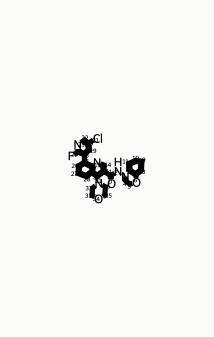 O=C(NN1CCOc2ccccc21)c1cnc2c(-c3cc(Cl)cnc3F)cccc2c1N1CCOCC1